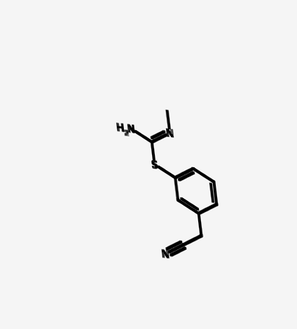 CN=C(N)Sc1cccc(CC#N)c1